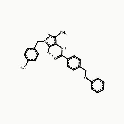 Cc1nn(Cc2ccc(N)cc2)c(C)c1NC(=O)c1ccc(COc2ccccc2)cc1